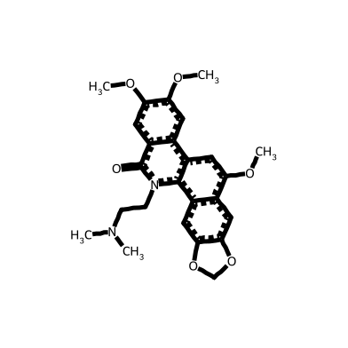 COc1cc2c(=O)n(CCN(C)C)c3c4cc5c(cc4c(OC)cc3c2cc1OC)OCO5